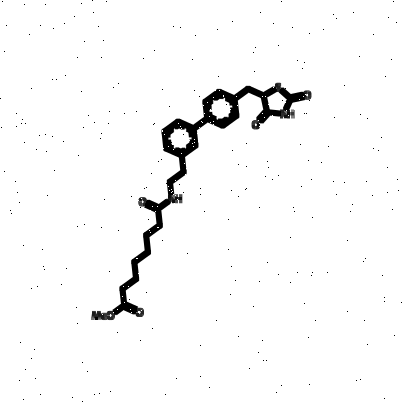 COC(=O)CCCCCCC(=O)NCCc1cccc(-c2ccc(CC3SC(=O)NC3=O)cc2)c1